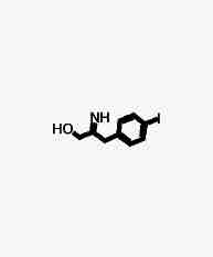 N=C(CO)Cc1ccc(I)cc1